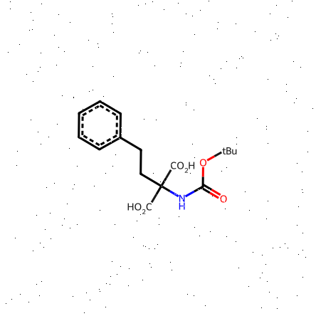 CC(C)(C)OC(=O)NC(CCc1ccccc1)(C(=O)O)C(=O)O